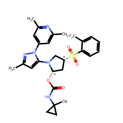 Cc1cc(-n2nc(C)cc2N2C[C@H](S(=O)(=O)c3ccccc3C(F)(F)F)C[C@@H]2OC(=O)NC2(C#N)CC2)cc(C)n1